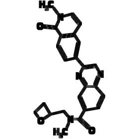 CN(CC1CCO1)C(=O)c1ccc2ncc(-c3ccc4c(=O)n(C)ccc4c3)nc2c1